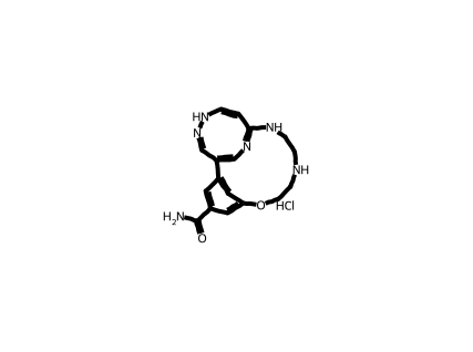 Cl.NC(=O)c1cc2cc(c1)-c1cn[nH]ccc(nc1)NCCNCCO2